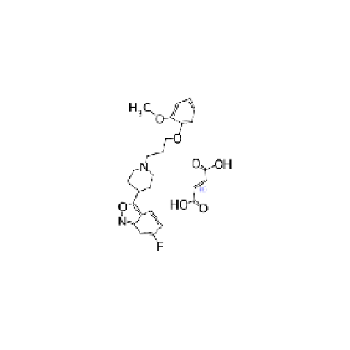 COc1ccccc1OCCCN1CCC(c2onc3cc(F)ccc23)CC1.O=C(O)/C=C/C(=O)O